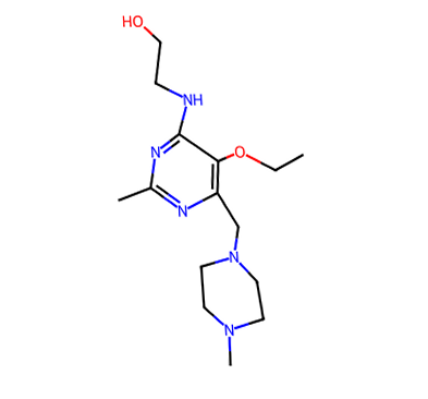 CCOc1c(CN2CCN(C)CC2)nc(C)nc1NCCO